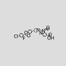 O=C(O)c1ccc2nc(CN3CCC(c4ccc5c(c4)OCC(c4ccc(Cl)cc4F)O5)CC3)n(C[C@@H]3CCO3)c2c1